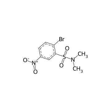 CN(C)S(=O)(=O)c1cc([N+](=O)[O-])ccc1Br